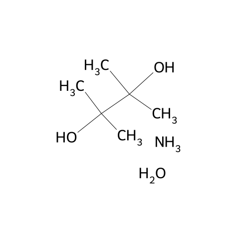 CC(C)(O)C(C)(C)O.N.O